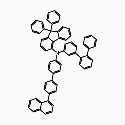 c1ccc(-c2ccccc2-c2cccc(N(c3ccc(-c4ccc(-c5cccc6ccccc56)cc4)cc3)c3cccc4c3-c3ccccc3C4(c3ccccc3)c3ccccc3)c2)cc1